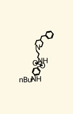 CCCCNc1ccc(S(=O)(=O)NCCCN2CCC(Cc3ccccc3)CC2)cc1